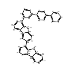 c1ccc(-c2ccc(-c3cccc(-c4cccc5c4oc4ccc(-c6cccc7c6sc6ccccc67)cc45)c3)cc2)cc1